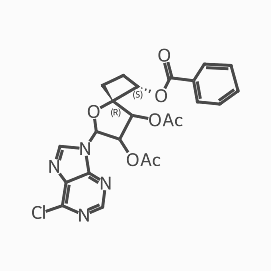 CC(=O)OC1C(n2cnc3c(Cl)ncnc32)O[C@@]2(CC[C@@H]2OC(=O)c2ccccc2)C1OC(C)=O